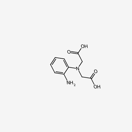 Nc1ccccc1N(CC(=O)O)CC(=O)O